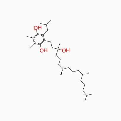 Cc1c(C)c(O)c(CC(C)C)c(CCC(C)(O)CCC[C@H](C)CCC[C@H](C)CCCC(C)C)c1O